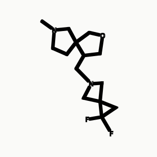 CN1CCC2(COCC2CN2CC3(C2)CC3(F)F)C1